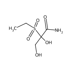 CCS(=O)(=O)C(O)(CO)C(N)=O